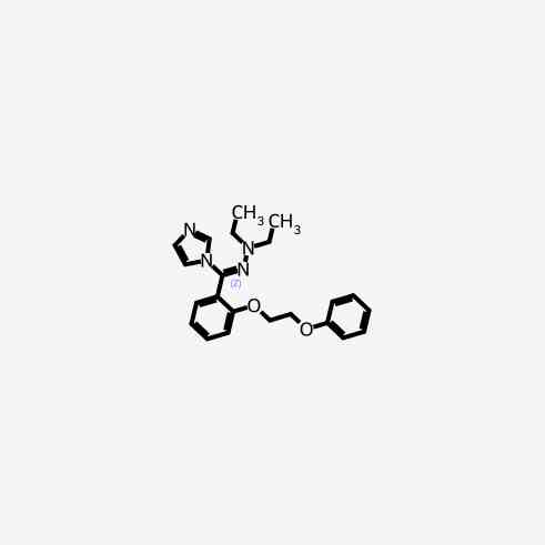 CCN(CC)/N=C(/c1ccccc1OCCOc1ccccc1)n1ccnc1